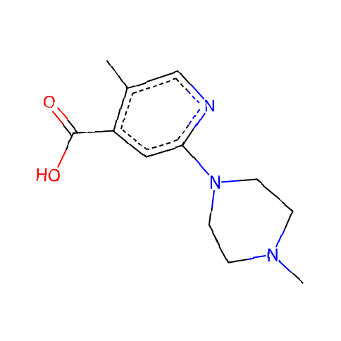 Cc1cnc(N2CCN(C)CC2)cc1C(=O)O